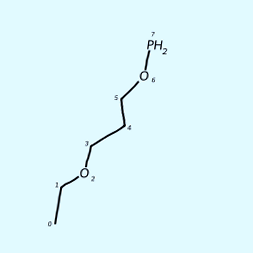 CCOCCCOP